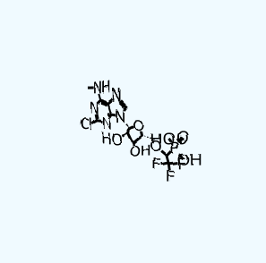 CNc1nc(Cl)nc2c1ncn2[C@@H]1O[C@H](COC(C(F)(F)F)P(=O)(O)O)[C@@H](O)[C@H]1O